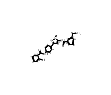 Cn1nc(-c2ccc(NC(=O)c3ccccc3Cl)cc2)cc1NC(=O)c1cccc(CN)c1